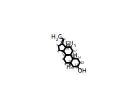 C/C=C1\CCC2C3CC[C@@H]4C[C@H](O)CC[C@@H]4C3CC[C@]12C